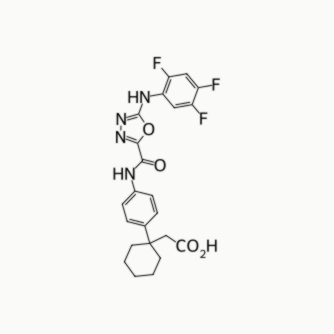 O=C(O)CC1(c2ccc(NC(=O)c3nnc(Nc4cc(F)c(F)cc4F)o3)cc2)CCCCC1